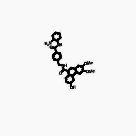 COc1cc2cc(C(=O)NCc3ccc(C(=O)Nc4ccccc4N)cc3)c3ccc(O)cc3c2cc1OC